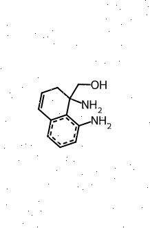 Nc1cccc2c1C(N)(CO)CC=C2